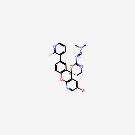 CN(C)/C=N/C1=NCC[C@@]2(O1)c1cc(-c3cccnc3F)ccc1Oc1ncc(Br)cc12